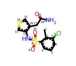 Cc1c(Cl)cccc1S(=O)(=O)Nc1cscc1CC(N)=O